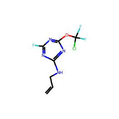 C=CCNc1nc(F)nc(OC(F)(F)Cl)n1